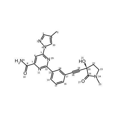 Cc1cnn(-c2cc(C(N)=O)nc(-c3cccc(C#C[C@]4(O)CCN(C)C4=O)c3)n2)c1